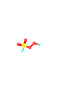 O=S(=O)(F)OOF